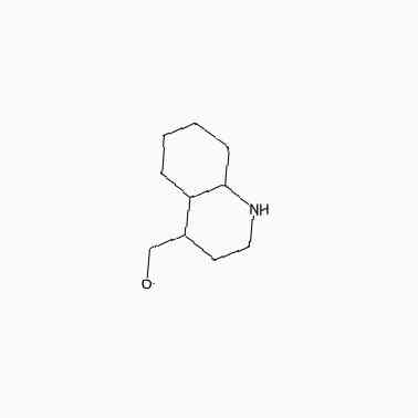 [O]CC1CCNC2CCCCC12